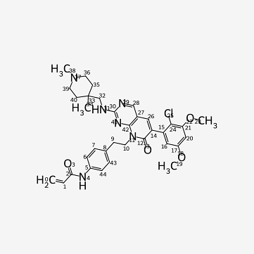 C=CC(=O)Nc1ccc(CCn2c(=O)c(-c3cc(OC)cc(OC)c3Cl)cc3cnc(NCC4(C)CCN(C)CC4)nc32)cc1